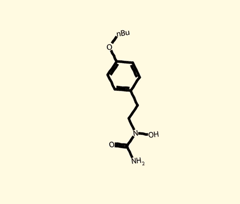 CCCCOc1ccc(CCN(O)C(N)=O)cc1